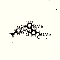 COC(=O)Cc1ccc(C(=O)Nc2nc3ncc(C4CC4)nc3s2)c(-c2cc(Cl)ccc2OC)c1